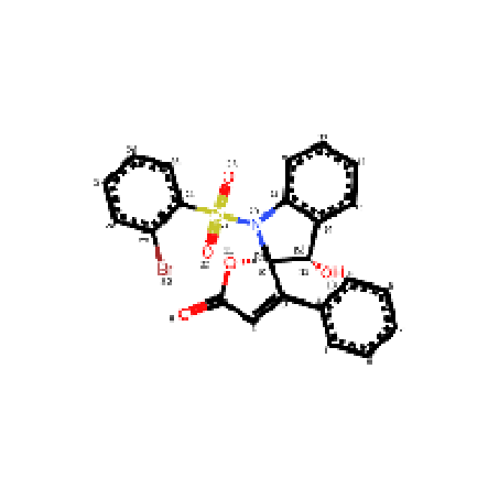 O=C1C=C(c2ccccc2)[C@]2(O1)[C@@H](O)c1ccccc1N2S(=O)(=O)c1ccccc1Br